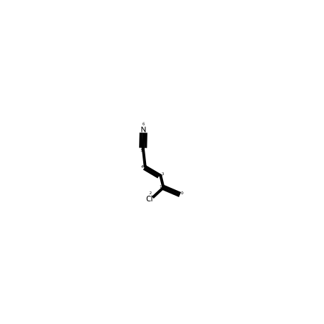 C=C(Cl)C=CC#N